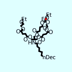 CCCCCCCCCCCCCCCC(=O)NC(COC(=O)CCC(=O)OCCOCC)(COC(=O)CCC(=O)OCCOCC)COC(=O)CCC(=O)OCCOCC